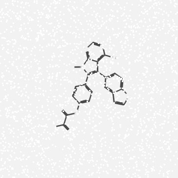 C=C(C)C(=O)Nc1ccc(-c2c(-c3ccc4occc4c3)c3c(N)ncnc3n2C)cc1